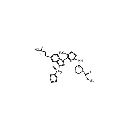 CC(C)(O)CCc1ccc2c(-c3nc(N[C@H]4CCCN(C(=O)OC(C)(C)C)C4)ncc3C(F)(F)F)cn(S(=O)(=O)c3ccccc3)c2c1